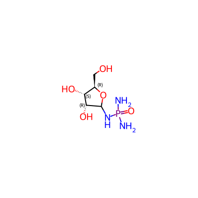 NP(N)(=O)NC1O[C@H](CO)[C@@H](O)[C@H]1O